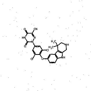 CC1(C)CNCc2[nH]c3ccc(Oc4c(Cl)cc(-n5nc(C#N)c(=O)[nH]c5=O)cc4Cl)cc3c21